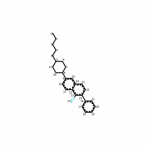 CCCCCC1CCC(c2ccc3c(F)c(-c4ccccc4)ccc3c2)CC1